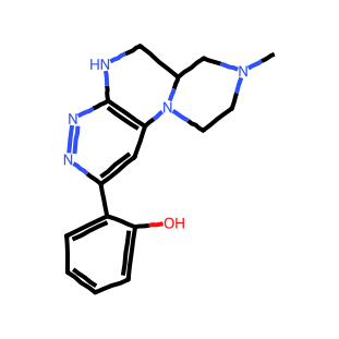 CN1CCN2c3cc(-c4ccccc4O)nnc3NCC2C1